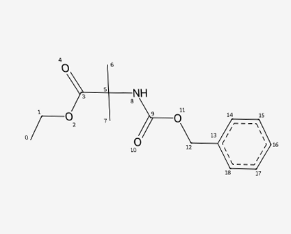 CCOC(=O)C(C)(C)NC(=O)OCc1ccccc1